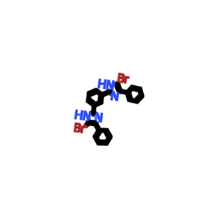 Brc1[nH]c(-c2cccc(-c3nc(-c4ccccc4)c(Br)[nH]3)c2)nc1-c1ccccc1